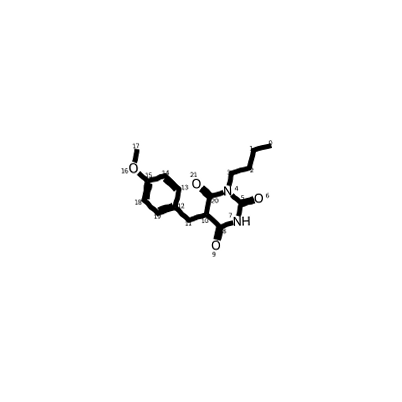 CCCCN1C(=O)NC(=O)C(Cc2ccc(OC)cc2)C1=O